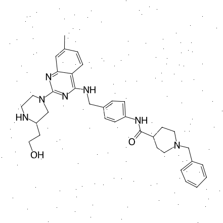 Cc1ccc2c(NCc3ccc(NC(=O)C4CCN(Cc5ccccc5)CC4)cc3)nc(N3CCNC(CCO)C3)nc2c1